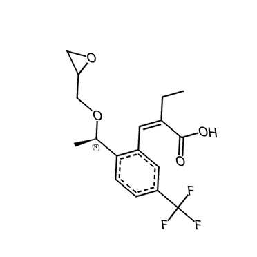 CCC(=Cc1cc(C(F)(F)F)ccc1[C@@H](C)OCC1CO1)C(=O)O